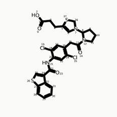 O=C(O)CCC1=CN(C2CCCN2C(=O)Cc2cc(Cl)c(NC(=O)c3csc4ccccc34)cc2Cl)CS1